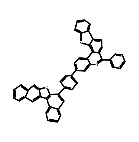 c1ccc(-c2nc3cc(-c4ccc(-c5cc6ccccc6c6c5oc5cc7ccccc7cc56)cc4)ccc3c3c2ccc2c4ccccc4sc23)cc1